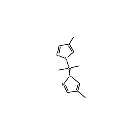 Cc1cnn([Si](C)(C)n2cc(C)cn2)c1